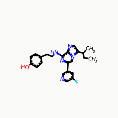 CCC(C)c1cnc2c(NCCc3ccc(O)cc3)nc(-c3cncc(F)c3)cn12